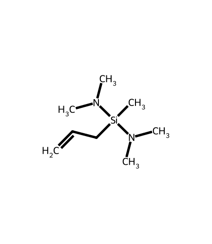 C=CC[Si](C)(N(C)C)N(C)C